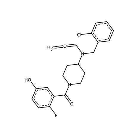 C=C=CN(Cc1ccccc1Cl)C1CCN(C(=O)c2cc(O)ccc2F)CC1